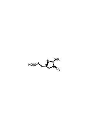 CCCCN1N=C(CCS(=O)(=O)O)CC1=O